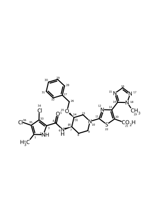 Cc1[nH]c(C(=O)N[C@@H]2CCN(c3nc(-c4ncnn4C)c(C(=O)O)s3)C[C@@H]2OCc2ccccc2)c(Cl)c1Cl